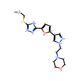 O=C(O)CSc1nnc(-c2ccc(-c3cnn(CCN4CCOCC4)c3)o2)[nH]1